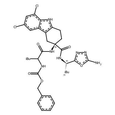 CCC(C)C(NC(=O)OCc1ccccc1)C(=O)N[C@]1(C(=O)N[C@@H](c2nnc(N)o2)[C@@H](C)CC)CCc2[nH]c3c(Cl)cc(Cl)cc3c2C1